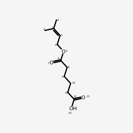 CC(C)=CCOC(=O)CCCCC(=O)O